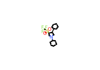 O=S(=O)(c1cn(-c2ccccc2)cc1-c1ccccc1)C(F)(F)F